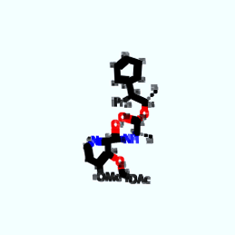 COc1ccnc(C(=O)N[C@@H](C)C(=O)O[C@@H](C)[C@H](c2ccccc2)C(C)C)c1OCOC(C)=O